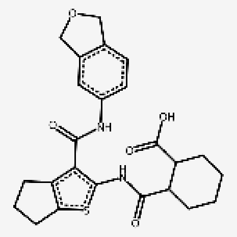 O=C(Nc1ccc2c(c1)COC2)c1c(NC(=O)C2CCCCC2C(=O)O)sc2c1CCC2